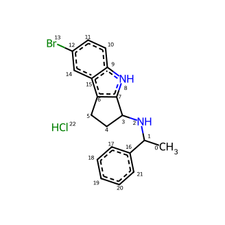 CC(NC1CCc2c1[nH]c1ccc(Br)cc21)c1ccccc1.Cl